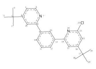 CC(C)(C)c1ccnc(-c2cccc(-c3cc(C(C)(C)C)cc(Cl)n3)c2)c1